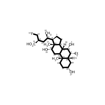 CC[C@H]1[C@@H](O)[C@H]2C3CC[C@H]([C@H](C)C[C@H](CF)C(=O)O)[C@@]3(C)[C@@H](O)CC2[C@@]2(C)CC[C@@H](O)C[C@@H]12